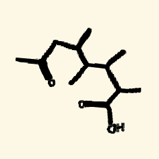 CC(=O)CC(C)C(C)C(C)C(C)C(=O)O